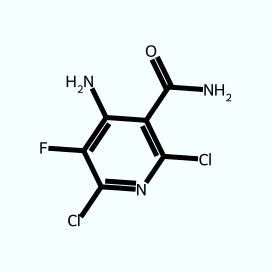 NC(=O)c1c(Cl)nc(Cl)c(F)c1N